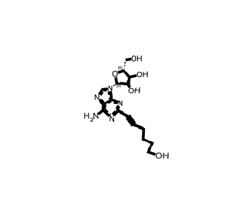 Nc1nc(C#CCCCCO)nc2c1ncn2[C@@H]1O[C@H](CO)C(O)C1O